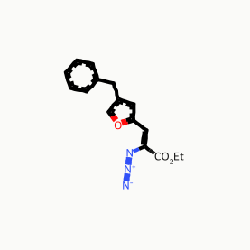 CCOC(=O)/C(=C/c1cc(Cc2ccccc2)co1)N=[N+]=[N-]